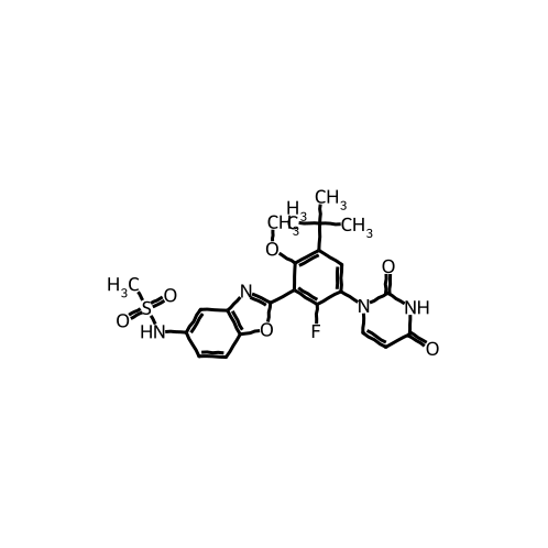 COc1c(C(C)(C)C)cc(-n2ccc(=O)[nH]c2=O)c(F)c1-c1nc2cc(NS(C)(=O)=O)ccc2o1